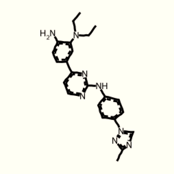 CCN(CC)c1cc(-c2ccnc(Nc3ccc(-n4cnc(C)n4)cc3)n2)ccc1N